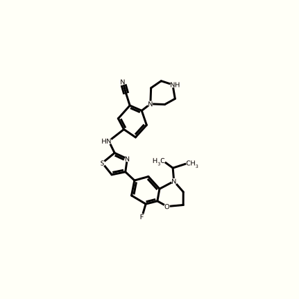 CC(C)N1CCOc2c(F)cc(-c3csc(Nc4ccc(N5CCNCC5)c(C#N)c4)n3)cc21